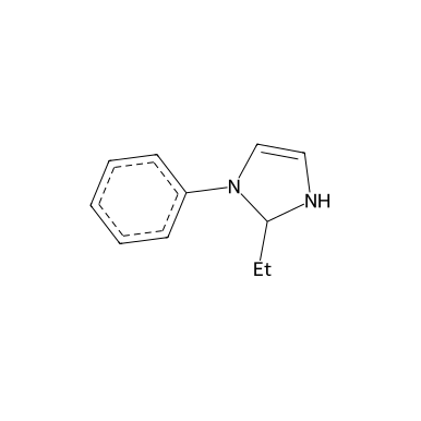 CCC1NC=CN1c1ccccc1